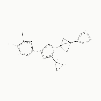 Cc1cc(-c2cn(C34CC(c5cnco5)(C3)C4)c(C3CC3)n2)cnc1N